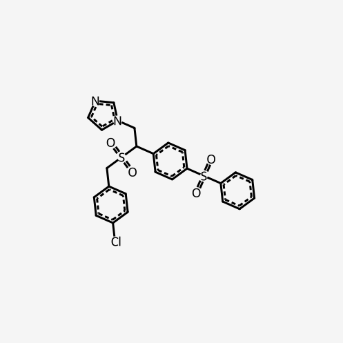 O=S(=O)(c1ccccc1)c1ccc(C(Cn2ccnc2)S(=O)(=O)Cc2ccc(Cl)cc2)cc1